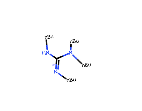 CCCC/N=C(/NCCCC)N(CCCC)CCCC